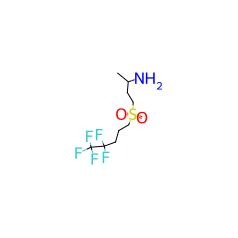 CC(N)CCS(=O)(=O)CCCC(F)(F)C(F)(F)F